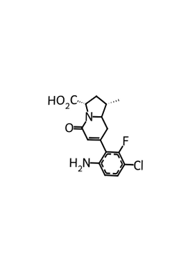 C[C@H]1C[C@@H](C(=O)O)N2C(=O)C=C(c3c(N)ccc(Cl)c3F)CC12